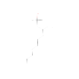 CCCCCCCCCCCCCCC(C)CC(C)(C)O